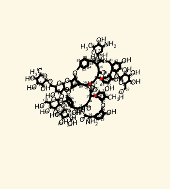 Cc1c(O)cc2cc1Oc1cc(ccc1O)[C@@H](N)C(=O)N[C@H]1C(=O)C[C@@H]2C(=O)N[C@H]2C(=O)C[C@H]3C(=O)C[C@H](C(=O)NCc4cc(O)cc(OC5OC(CO)C(O)C(O)C5O)c4-c4cc3ccc4O)[C@H](OC3CC(N)C(O)C(C)O3)c3ccc(cc3)Oc3cc2cc(c3OC2OC(COC3OC(C)C(O)C(O)C3O)C(O)[C@H](OC3OC(CO)C(O)C(O)C3O[C@H]3O[C@H](CO)C(O)[C@H]3O)[C@@H]2O)Oc2ccc(cc2Cl)[C@H]1O